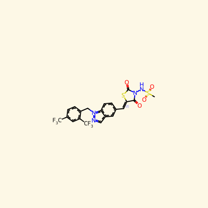 CS(=O)(=O)NN1C(=O)S/C(=C\c2ccc3c(cnn3Cc3ccc(C(F)(F)F)cc3C(F)(F)F)c2)C1=O